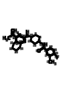 Cc1cc(C(=O)NC2CCC(Nc3nc4c(c(N(C)C)n3)CCCC4)CC2)ccc1F